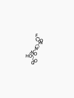 CCN(CCN1CCC(c2noc3cc(F)ccc23)CC1)C(=O)C(O)CCC(=O)OC